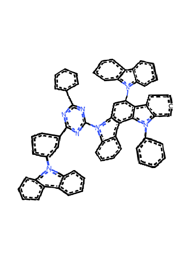 c1ccc(-c2nc(-c3cccc(-n4c5ccccc5c5ccccc54)c3)nc(-n3c4ccccc4c4c3cc(-n3c5ccccc5c5ccccc53)c3c5ccccc5n(-c5ccccc5)c34)n2)cc1